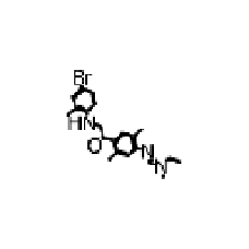 CCN(C)C=Nc1cc(C)c(C(=O)CNc2ccc(Br)cc2C)cc1C